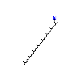 CC(C)=CCC/C(C)=C/CC/C(C)=C/CC/C(C)=C/CC/C(C)=C/CC/C(C)=C/CC/C(C)=C/CCC(C)CC#N